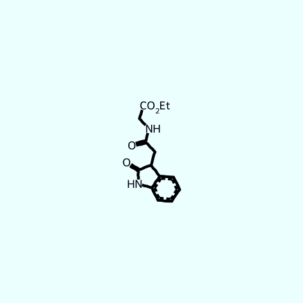 CCOC(=O)CNC(=O)CC1C(=O)Nc2ccccc21